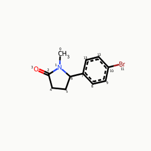 CN1C(=O)CCC1c1ccc(Br)cc1